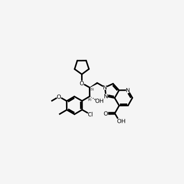 COc1cc([C@@H](O)[C@H](Cn2cc3nccc(C(=O)O)c3n2)OC2CCCC2)c(Cl)cc1C